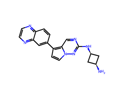 N[C@H]1C[C@@H](Nc2ncc3c(-c4ccc5nccnc5c4)ccn3n2)C1